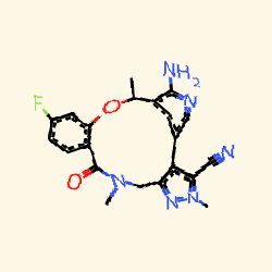 CC1Oc2cc(F)ccc2C(=O)N(C)Cc2nn(C)c(C#N)c2-c2cnc(N)c1c2